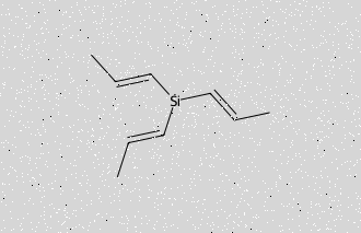 C/C=C/[Si](/C=C/C)/C=C/C